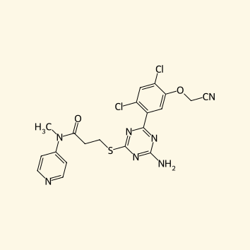 CN(C(=O)CCSc1nc(N)nc(-c2cc(OCC#N)c(Cl)cc2Cl)n1)c1ccncc1